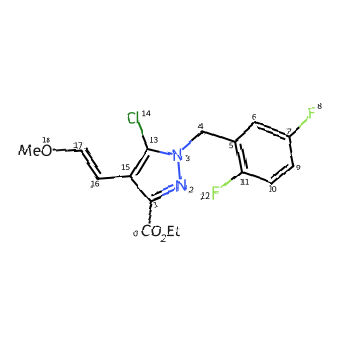 CCOC(=O)c1nn(Cc2cc(F)ccc2F)c(Cl)c1C=COC